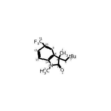 CN1C(=O)C(C)(CC(C)(C)C)c2cc(C(F)(F)F)ccc21